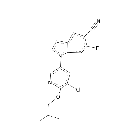 CC(C)COc1ncc(-n2ccc3cc(C#N)c(F)cc32)cc1Cl